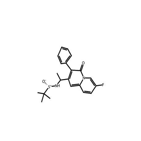 CC(N[S@@+]([O-])C(C)(C)C)c1cc2ccc(F)cn2c(=O)c1-c1ccccc1